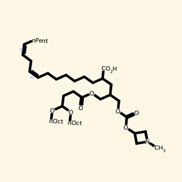 CCCCC/C=C\C/C=C\CCCCCCC(CC(COC(=O)CCC(OCCCCCCCC)OCCCCCCCC)COC(=O)OC1CN(C)C1)C(=O)O